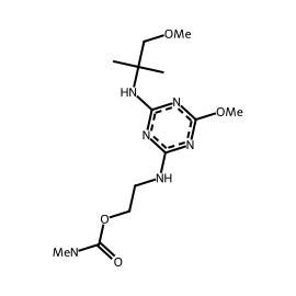 CNC(=O)OCCNc1nc(NC(C)(C)COC)nc(OC)n1